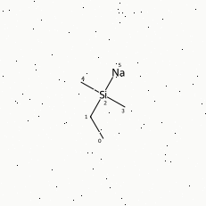 CC[Si](C)(C)[Na]